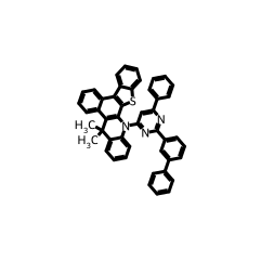 CC1(C)c2ccccc2N(c2cc(-c3ccccc3)nc(-c3cccc(-c4ccccc4)c3)n2)c2c1c1ccccc1c1c2sc2ccccc21